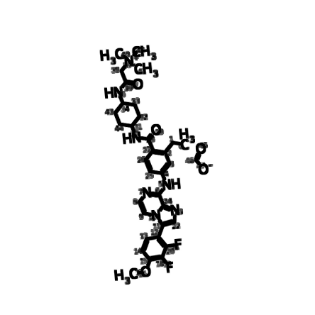 CCc1cc(Nc2nccn3c(-c4ccc(OC)c(F)c4F)cnc23)ccc1C(=O)NC1CCC(NC(=O)C[N+](C)(C)C)CC1.O=C[O-]